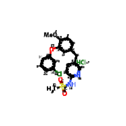 COc1ccc(Cc2ccc(NS(C)(=O)=O)nc2)cc1Oc1cccc(Cl)c1.Cl